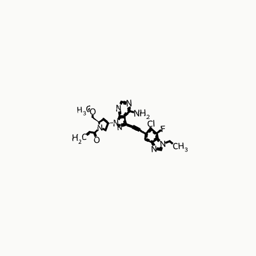 C=CC(=O)N1C[C@@H](n2nc(C#Cc3cc4ncn(CC)c4c(F)c3Cl)c3c(N)ncnc32)C[C@@H]1COC